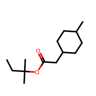 CCC(C)(C)OC(=O)CC1CCC(C)CC1